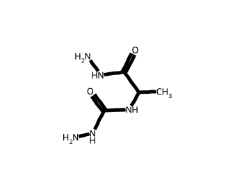 CC(NC(=O)NN)C(=O)NN